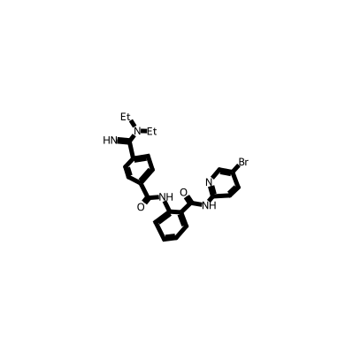 CCN(CC)C(=N)c1ccc(C(=O)Nc2ccccc2C(=O)Nc2ccc(Br)cn2)cc1